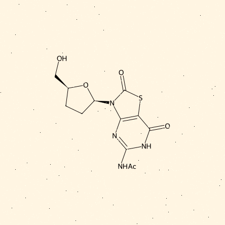 CC(=O)Nc1nc2c(sc(=O)n2[C@H]2CC[C@@H](CO)O2)c(=O)[nH]1